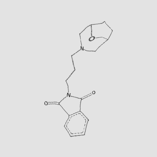 O=C1c2ccccc2C(=O)N1CCCN1CC2CCC(C1)O2